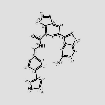 Nc1cc2c(-c3cc(C(=O)NCc4ccc(-c5cn[nH]n5)cc4)c4[nH]ncc4c3)c[nH]c2cn1